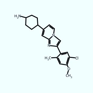 COc1cc(C)c(-c2cn3ccc(C4CCC(N)CC4)cc3n2)cc1Cl